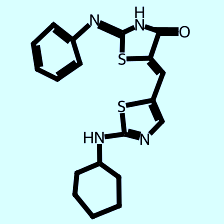 O=C1NC(=Nc2ccccc2)SC1=Cc1cnc(NC2CCCCC2)s1